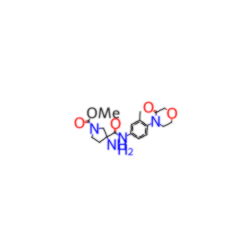 COC(=O)N1CCC(N)(C(=O)Nc2ccc(N3CCOCC3=O)c(C)c2)C1